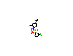 Cc1cc(C(C)(C)C)ccc1NS(=O)(=O)c1cccc(Cl)c1